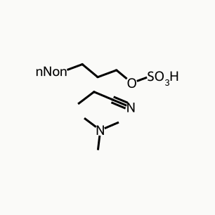 CCC#N.CCCCCCCCCCCCOS(=O)(=O)O.CN(C)C